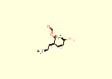 BC(=C)/C=C\C(=C/C=C)COC=O